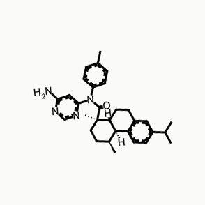 Cc1ccc(N(C(=O)[C@]2(C)CC[C@H](C)[C@@H]3c4ccc(C(C)C)cc4CC[C@H]32)c2cc(N)ncn2)cc1